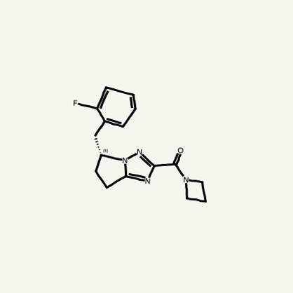 O=C(c1nc2n(n1)[C@@H](Cc1ccccc1F)CC2)N1CCC1